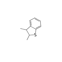 CC1Sc2ccccc2C1C